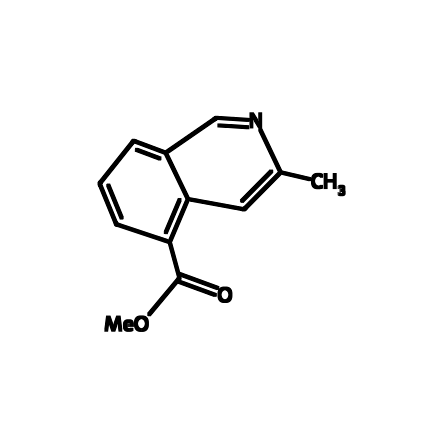 COC(=O)c1cccc2cnc(C)cc12